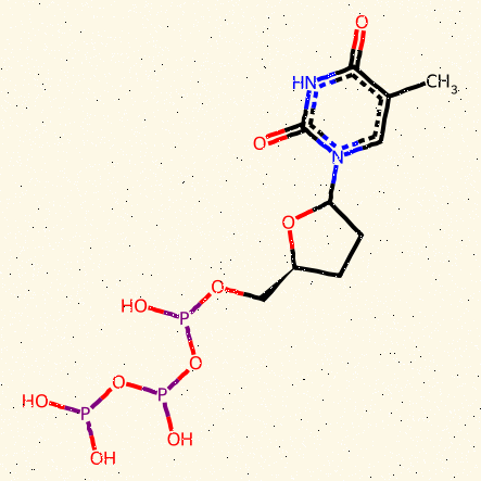 Cc1cn(C2CC[C@@H](COP(O)OP(O)OP(O)O)O2)c(=O)[nH]c1=O